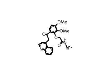 CCCNC(=O)COc1c(C(=O)Cc2ccnc3ccccc23)ccc(OC)c1OC